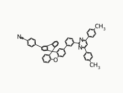 Cc1ccc(-c2cc(-c3ccc(C)cc3)nc(-c3cccc(-c4ccc5c(c4)C4(c6ccccc6O5)c5ccccc5-c5cc(-c6ccc(C#N)cc6)ccc54)c3)n2)cc1